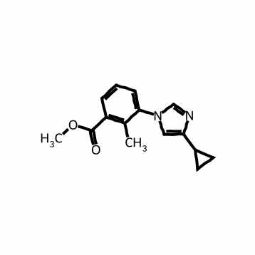 COC(=O)c1cccc(-n2cnc(C3CC3)c2)c1C